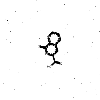 O=C(O)c1cc2cccnc2c(=O)[nH]1